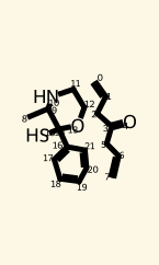 C=CCC(=O)CC=C.CC1NCCOC1(S)c1ccccc1